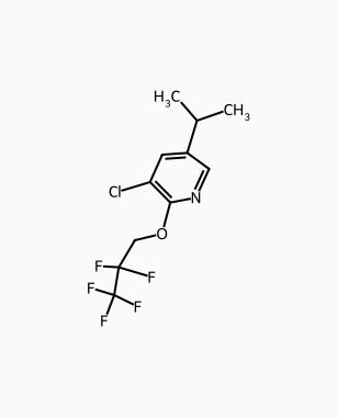 CC(C)c1cnc(OCC(F)(F)C(F)(F)F)c(Cl)c1